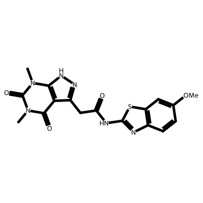 COc1ccc2nc(NC(=O)Cc3n[nH]c4c3c(=O)n(C)c(=O)n4C)sc2c1